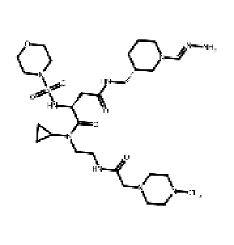 CN1CCN(CC(=O)NCCN(C(=O)[C@H](CC(=O)NC[C@@H]2CCCN(C=NN)C2)NS(=O)(=O)N2CCOCC2)C2CC2)CC1